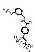 COc1cccc(CNC(=O)c2ccc(/C(C)=C/C(C)(C)C)cc2)c1